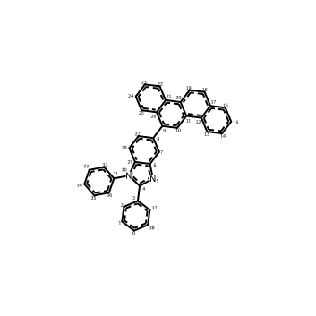 c1ccc(-c2nc3cc(-c4cc5c6ccccc6ccc5c5ccccc45)ccc3n2-c2ccccc2)cc1